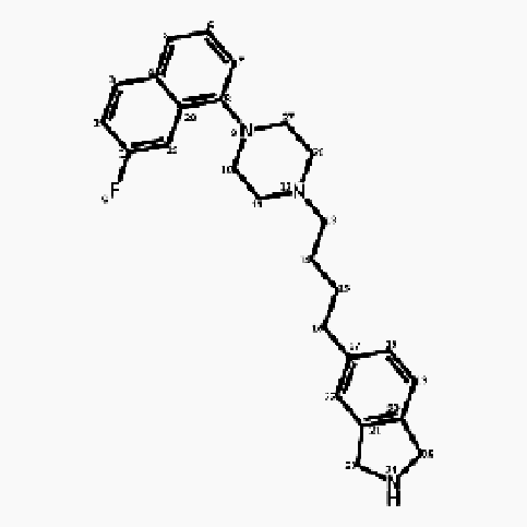 Fc1ccc2cccc(N3CCN(CCCCc4ccc5c(c4)CNC5)CC3)c2c1